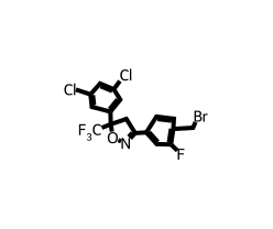 Fc1cc(C2=NOC(c3cc(Cl)cc(Cl)c3)(C(F)(F)F)C2)ccc1CBr